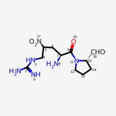 N=C(N)NCC(C[C@H](N)C(=O)N1CCC[C@H]1[C]=O)[N+](=O)[O-]